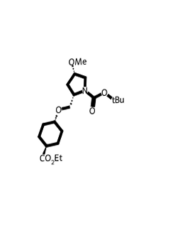 CCOC(=O)[C@H]1CC[C@H](OC[C@@H]2C[C@H](OC)CN2C(=O)OC(C)(C)C)CC1